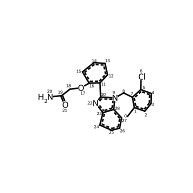 Cc1cccc(Cl)c1Cn1c(-c2ccccc2OCC(N)=O)nc2ccccc21